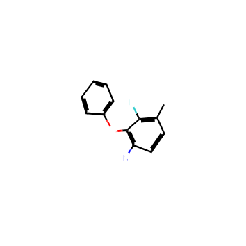 Cc1ccc(N)c(Oc2ccccc2)c1F